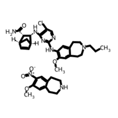 CCCN1CCc2cc(Nc3ncc(Cl)c(N[C@H]4[C@@H](C(N)=O)[C@@H]5C=C[C@H]4C5)n3)c(OC)cc2CC1.COc1cc2c(cc1[N+](=O)[O-])CCNCC2